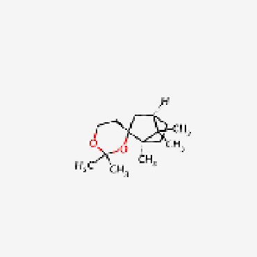 CC1(C)OCC[C@]2(C[C@H]3CC[C@]2(C)C3(C)C)O1